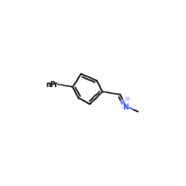 CCCc1ccc(/C=N/C)cc1